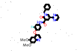 COc1cc2nccc(Oc3ccc(NC(=O)c4cc(-c5ncccn5)cn(Cc5ccccc5)c4=O)cc3F)c2cc1OC